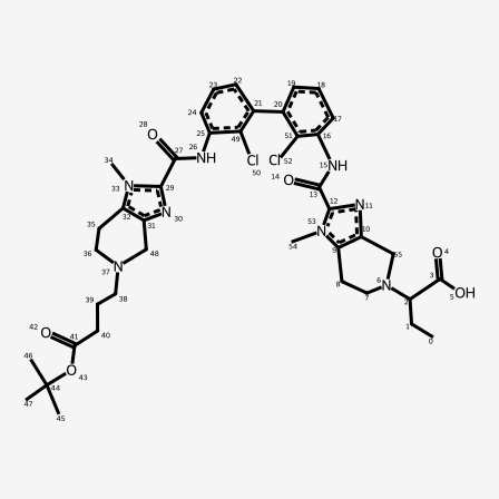 CCC(C(=O)O)N1CCc2c(nc(C(=O)Nc3cccc(-c4cccc(NC(=O)c5nc6c(n5C)CCN(CCCC(=O)OC(C)(C)C)C6)c4Cl)c3Cl)n2C)C1